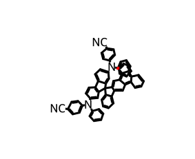 N#Cc1ccc(N(c2ccccc2)c2ccc3c(c2)C2(c4ccccc4-c4cc5c6ccccc6c6ccccc6c5cc42)c2cc(N(c4ccccc4)c4ccc(C#N)cc4)ccc2-3)cc1